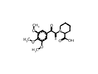 COc1cc(C(=O)C(=S)N2CCCCC2C(=O)O)cc(OC)c1OC